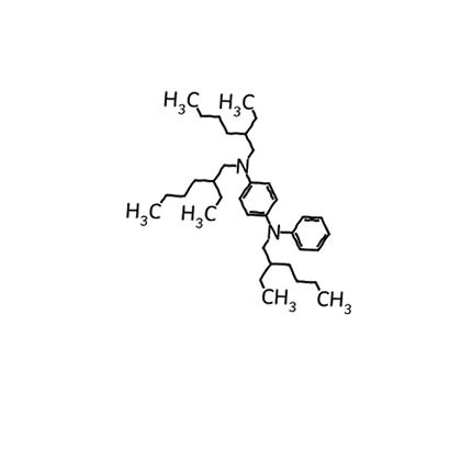 CCCCC(CC)CN(CC(CC)CCCC)c1ccc(N(CC(CC)CCCC)c2ccccc2)cc1